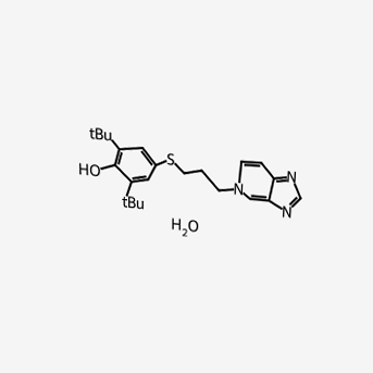 CC(C)(C)c1cc(SCCCn2ccc3ncnc-3c2)cc(C(C)(C)C)c1O.O